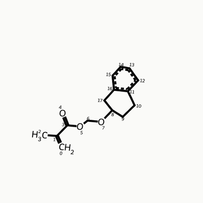 C=C(C)C(=O)OCOC1CCc2ccccc2C1